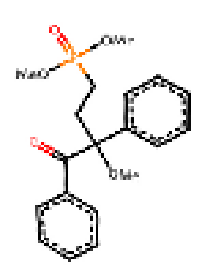 COC(CCP(=O)(OC)OC)(C(=O)c1ccccc1)c1ccccc1